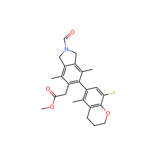 COC(=O)Cc1c(C)c2c(c(C)c1-c1cc(F)c3c(c1C)CCCO3)CN(C=O)C2